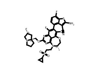 C[C@H]1COc2c(Cl)c(-c3ccc(F)c4sc(N)c(C#N)c34)c(F)c3nc(OC[C@@]45CCCN4C[C@H](F)C5)nc(c23)N1CCS(=O)(=O)C1CC1